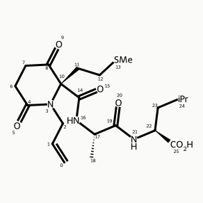 C=CCN1C(=O)CCC(=O)[C@]1(CCSC)C(=O)N[C@@H](C)C(=O)N[C@@H](CC(C)C)C(=O)O